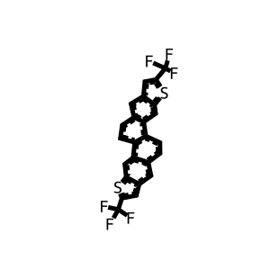 FC(F)(F)c1cc2cc3ccc4c5cc6sc(C(F)(F)F)cc6cc5ccc4c3cc2s1